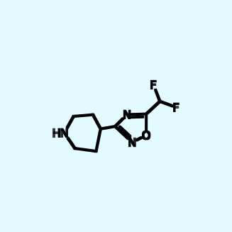 FC(F)c1nc(C2CCNCC2)no1